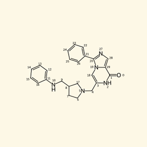 O=c1[nH]c(CN2CCC(CNc3ccccc3)C2)cn2c(-c3ccccc3)ncc12